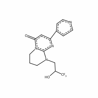 O=c1cc(-c2ccncc2)nc2n1CCCN2CC(O)C(F)(F)F